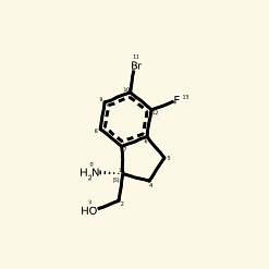 N[C@@]1(CO)CCc2c1ccc(Br)c2F